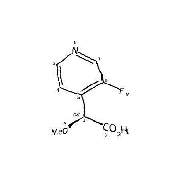 CO[C@H](C(=O)O)c1ccncc1F